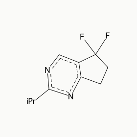 CC(C)c1ncc2c(n1)CCC2(F)F